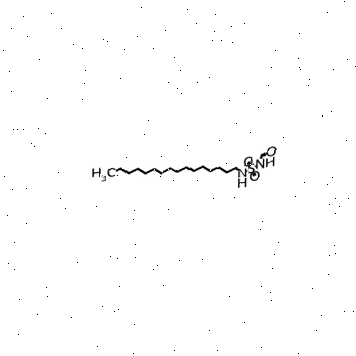 CCCCCCCCCCCCCCCCNS(=O)(=O)NC=O